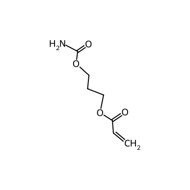 C=CC(=O)OCCCOC(N)=O